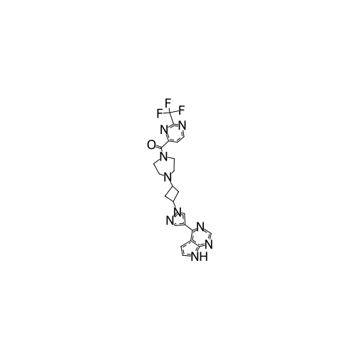 O=C(c1ccnc(C(F)(F)F)n1)N1CCN(C2CC(n3cc(-c4ncnc5[nH]ccc45)cn3)C2)CC1